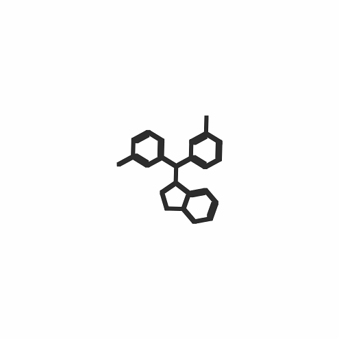 Cc1cccc(C(c2cccc(C)c2)C2CCC3CC=CC=C32)c1